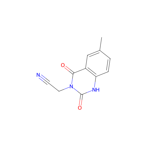 Cc1ccc2[nH]c(=O)n(CC#N)c(=O)c2c1